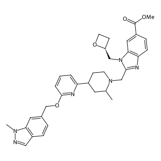 COC(=O)c1ccc2nc(CN3CCC(c4cccc(OCc5ccc6cnn(C)c6c5)n4)CC3C)n(C[C@@H]3CCO3)c2c1